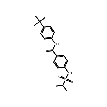 CC(C)S(=O)(=O)Nc1ccc(C(=O)Nc2ccc(C(C)(C)C)cc2)cc1